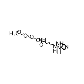 COCCOCCOCCONC(=O)CCCCCNC(=N)Nc1ccncc1